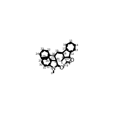 CN1C(=O)[C@@]2(C[C@]3(C(F)F)C(=O)c4ccccc4C3=C[C@@H]2c2ccccc2)c2ccccc21